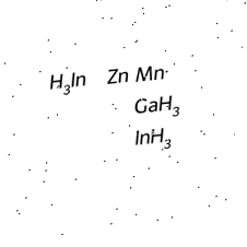 [GaH3].[InH3].[InH3].[Mn].[Zn]